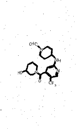 O=CN1CCC(Nc2cc(C(=O)N3CCCC(O)C3)c(C(F)(F)F)cn2)CC1